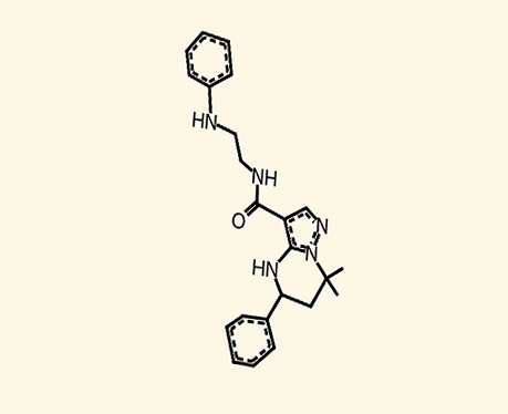 CC1(C)CC(c2ccccc2)Nc2c(C(=O)NCCNc3ccccc3)cnn21